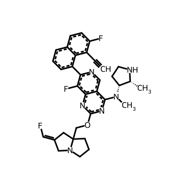 C#Cc1c(F)ccc2cccc(-c3ncc4c(N(C)[C@@H]5CCN[C@@H]5C)nc(OCC56CCCN5C/C(=C/F)C6)nc4c3F)c12